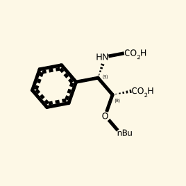 CCCCO[C@@H](C(=O)O)[C@@H](NC(=O)O)c1ccccc1